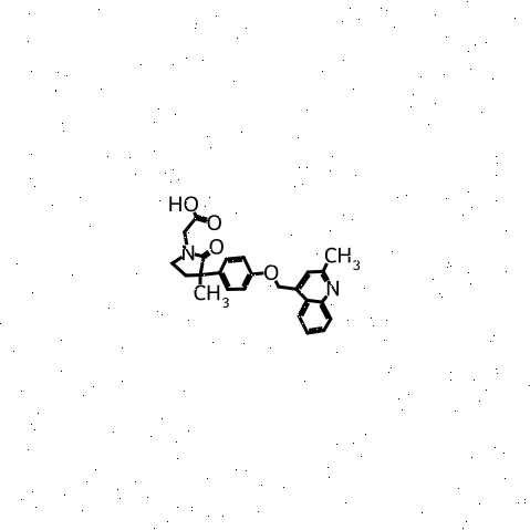 Cc1cc(COc2ccc(C3(C)CCN(CC(=O)O)C3=O)cc2)c2ccccc2n1